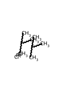 CCCCCCCCP(CCCCCCCC)CCCCCCCC.CCCCCCCCP(CCCCCCCC)CCCCCCCC.[Cl][Pt][Cl]